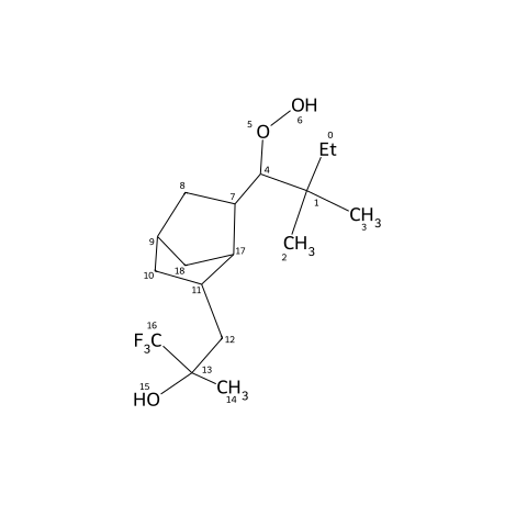 CCC(C)(C)C(OO)C1CC2CC(CC(C)(O)C(F)(F)F)C1C2